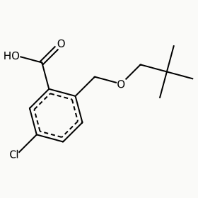 CC(C)(C)COCc1ccc(Cl)cc1C(=O)O